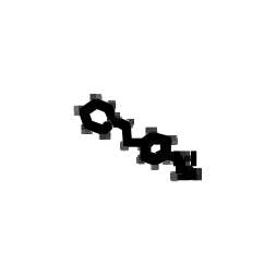 CC(C)(C)Nc1ccc(CCN2CCCCC2)cc1